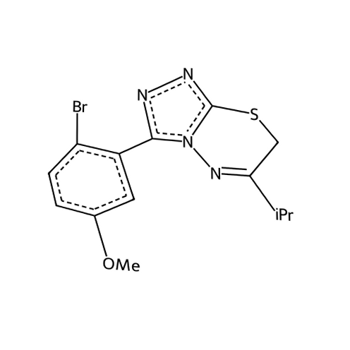 COc1ccc(Br)c(-c2nnc3n2N=C(C(C)C)CS3)c1